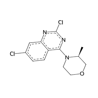 C[C@H]1COCCN1c1nc(Cl)nc2cc(Cl)ccc12